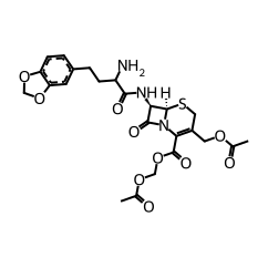 CC(=O)OCOC(=O)C1=C(COC(C)=O)CS[C@@H]2[C@H](NC(=O)C(N)CCc3ccc4c(c3)OCO4)C(=O)N12